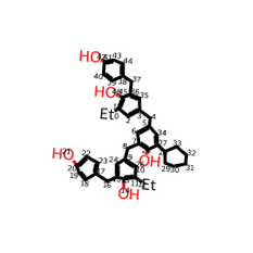 CCc1cc(Cc2cc(Cc3cc(CC)c(O)c(Cc4ccc(O)cc4)c3)c(O)c(C3CCCCC3)c2)cc(Cc2ccc(O)cc2)c1O